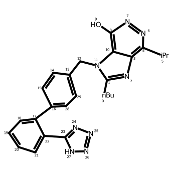 CCCCc1nc2c(C(C)C)nnc(O)c2n1Cc1ccc(-c2ccccc2-c2nnn[nH]2)cc1